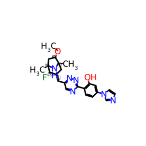 CO[C@@H]1C[C@]2(C)N[C@@]1(C)C/C(=C\c1cnc(-c3ccc(-n4ccnc4)cc3O)nn1)[C@@H]2F